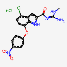 CNC(N)=NC(=O)c1cc2c(Cl)ccc(Oc3ccc([N+](=O)[O-])cc3)c2[nH]1.Cl